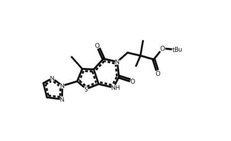 Cc1c(-n2nccn2)sc2[nH]c(=O)n(CC(C)(C)C(=O)OC(C)(C)C)c(=O)c12